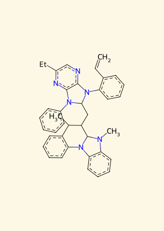 C=Cc1ccccc1N1c2ncc(CC)nc2N(c2ccccc2)C1CC1C(C)c2ccccc2N2c3ccccc3N(C)C12